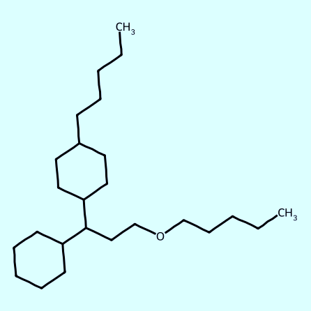 CCCCCOCCC(C1CCCCC1)C1CCC(CCCCC)CC1